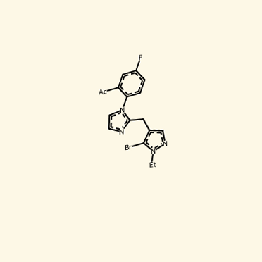 CCn1ncc(Cc2nccn2-c2ccc(F)cc2C(C)=O)c1Br